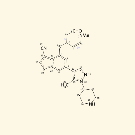 CN/C=C\C(=C/C=O)Sc1cc(-c2cnn(C3CCNCC3)c2C)cn2ncc(C#N)c12